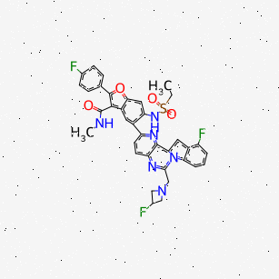 CCS(=O)(=O)Nc1cc2oc(-c3ccc(F)cc3)c(C(=O)NC)c2cc1-c1ccc2nc(CN3CC(F)C3)n3c4cccc(F)c4cc3c2n1